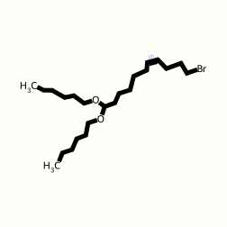 CCCCCCOC(CCCCC/C=C\CCCBr)OCCCCCC